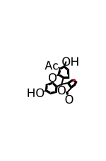 CC(=O)c1c(O)ccc2c1Oc1cc(O)ccc1C21OC(=O)c2ccccc21